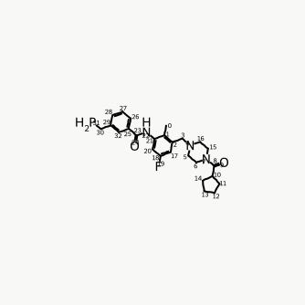 Cc1c(CN2CCN(C(=O)C3CCCC3)CC2)cc(F)cc1NC(=O)c1cccc(CP)c1